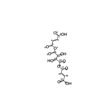 O=C(O)/C=C/C(=O)OC(=O)C(O)C(O)C(=O)OC(=O)/C=C/C(=O)O